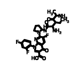 CCC(C(=O)C(C)N)C(N)C(=O)NC1CCCN1c1nc2c(cc1F)c(=O)c(C(=O)O)cn2-c1ccc(F)cc1F